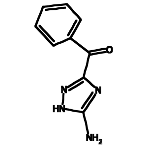 Nc1nc(C(=O)c2ccccc2)n[nH]1